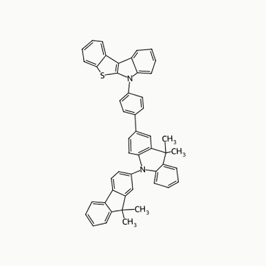 CC1(C)c2ccccc2-c2ccc(N3c4ccccc4C(C)(C)c4cc(-c5ccc(-n6c7ccccc7c7c8ccccc8sc76)cc5)ccc43)cc21